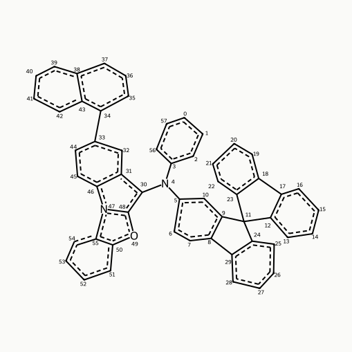 c1ccc(N(c2ccc3c(c2)C2(c4ccccc4-c4ccccc42)c2ccccc2-3)c2c3cc(-c4cccc5ccccc45)ccc3n3c2oc2ccccc23)cc1